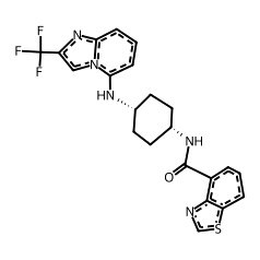 O=C(N[C@H]1CC[C@@H](Nc2cccc3nc(C(F)(F)F)cn23)CC1)c1cccc2scnc12